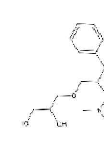 CN(C)CC(COCC(O)CO)Cc1ccccc1